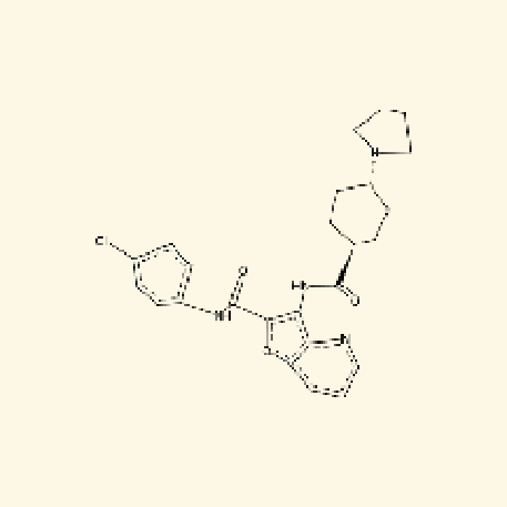 O=C(Nc1ccc(Cl)cc1)c1oc2cccnc2c1NC(=O)[C@H]1CC[C@H](N2CCCC2)CC1